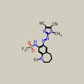 CCN1CCCCc2cc(N=Nc3nc(C#N)c(C#N)n3C)c(NS(=O)(=O)C(F)(F)F)cc21